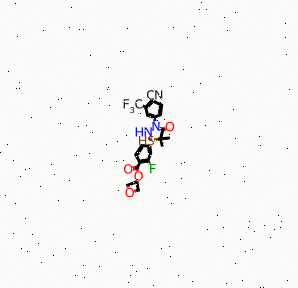 CC1(C)C(=O)N(c2ccc(C#N)c(C(F)(F)F)c2)N[SH]1c1ccc(C(=O)OC2COC2)c(F)c1